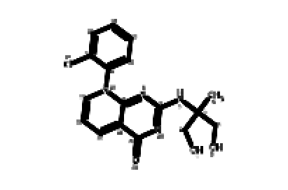 CC(CO)(CO)Nc1nc2n(-c3ccccc3Cl)cccc-2c(=O)n1